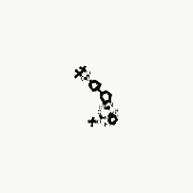 CC(C)(C)OC(=O)N1[C@@H]2CC[C@@H](C2)[C@H]1c1nc2ccc(-c3ccc(B4OC(C)(C)C(C)(C)O4)cc3)cc2[nH]1